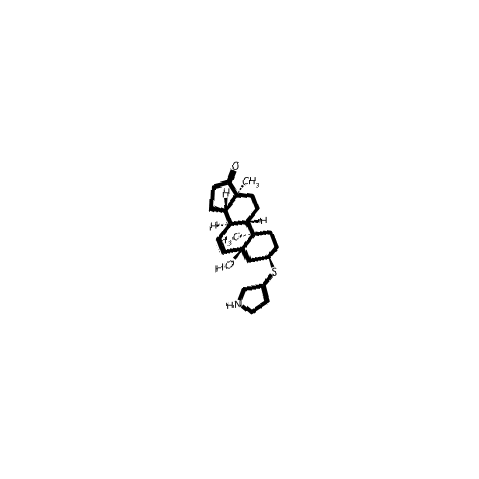 C[C@]12CC[C@H]3[C@@H](CC[C@@]4(O)C[C@H](SC5CCNC5)CC[C@]34C)[C@@H]1CCC2=O